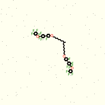 CC(CCCCCCCCOc1ccc(-c2cc(F)c(C(F)(F)Oc3cc(F)c(F)c(F)c3)c(F)c2)c(F)c1)CCCCCCCCOc1ccc(-c2cc(F)c(C(F)(F)Oc3cc(F)c(F)c(F)c3)c(F)c2)c(F)c1